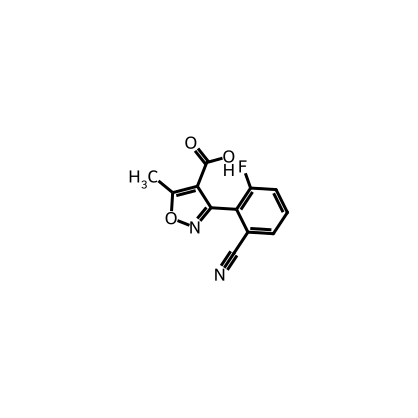 Cc1onc(-c2c(F)cccc2C#N)c1C(=O)O